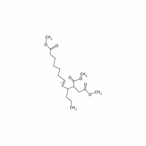 CCCC(/C=C/CCCCCC(=O)OC)C(CC(=O)OC)C(=O)OC